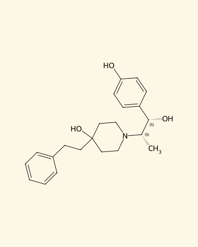 C[C@@H]([C@@H](O)c1ccc(O)cc1)N1CCC(O)(CCc2ccccc2)CC1